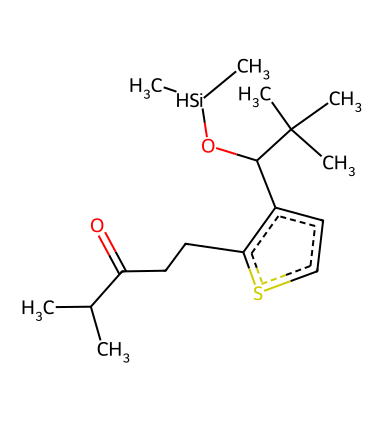 CC(C)C(=O)CCc1sccc1C(O[SiH](C)C)C(C)(C)C